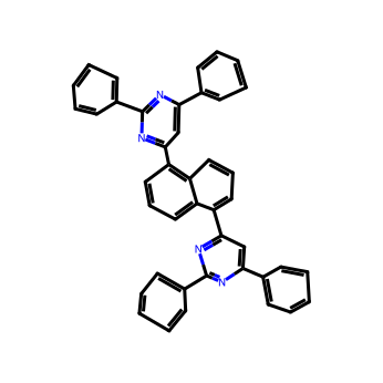 c1ccc(-c2cc(-c3cccc4c(-c5cc(-c6ccccc6)nc(-c6ccccc6)n5)cccc34)nc(-c3ccccc3)n2)cc1